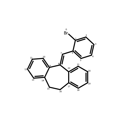 Brc1ccccc1C=C1c2ccccc2CCc2ccccc21